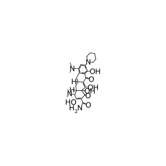 CN(C)c1cc(N2CCCCC2)c(O)c2c1C[C@H]1C[C@H]3C(N(C)C)C(O)=C(C(N)=O)C(=O)[C@@]3(O)C(O)=C1C2=O